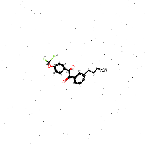 N#CCCCc1cccc(C(=O)C(=O)c2ccc(OC(F)F)cc2)c1